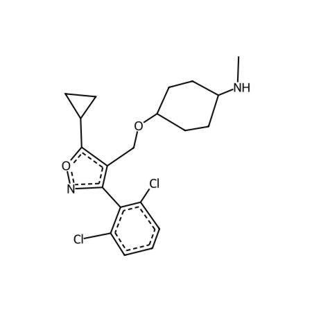 CNC1CCC(OCc2c(-c3c(Cl)cccc3Cl)noc2C2CC2)CC1